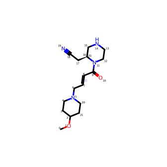 COC1CCN(C/C=C/C(=O)N2CCNC[C@@H]2CC#N)CC1